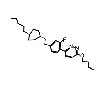 CCCCC[C@H]1CC[C@H](CCc2ccc(-c3ccc(OCCCC)nn3)c(F)c2)CC1